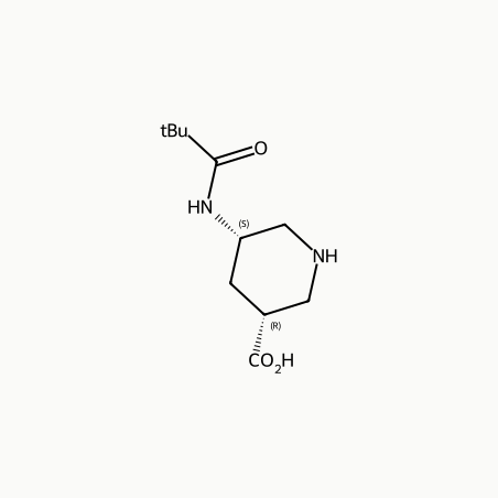 CC(C)(C)C(=O)N[C@@H]1CNC[C@H](C(=O)O)C1